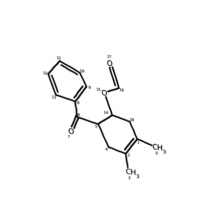 CC1=C(C)CC(C(=O)c2ccccc2)C(OC=O)C1